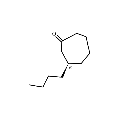 CCCC[C@@H]1CCCCC(=O)C1